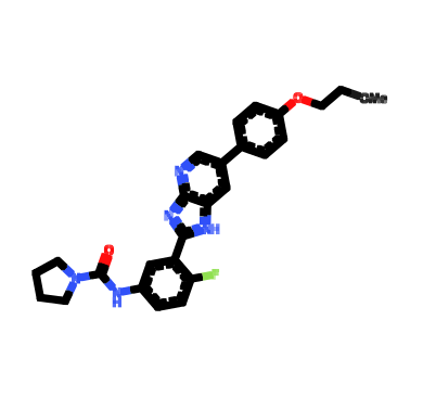 COCCOc1ccc(-c2cnc3nc(-c4cc(NC(=O)N5CCCC5)ccc4F)[nH]c3c2)cc1